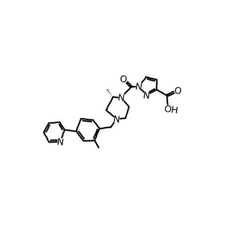 Cc1cc(-c2ccccn2)ccc1CN1CCN(C(=O)n2ccc(C(=O)O)n2)[C@@H](C)C1